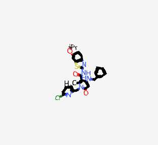 Cc1c(C(=O)Nc2nc3ccc(OC(C)C)cc3s2)c(NCc2ccccc2)cc(=O)n1Cc1cccc(Cl)n1